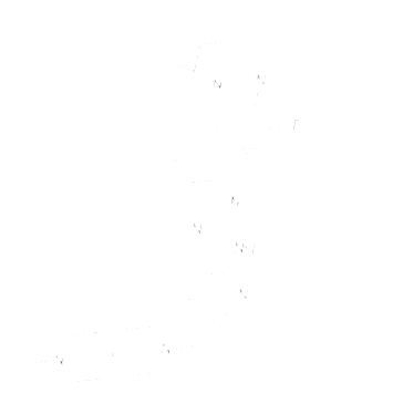 C=N/C=C(F)\C(=N/CNc1ccc(CN2CCC3(CCN(C)CC3)CC2)cn1)c1cc(F)c2nc3n(c2c1)C(C)(C)CC3